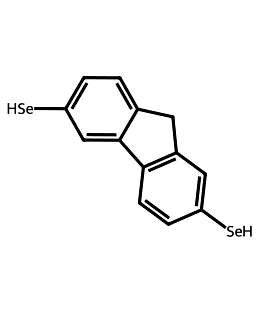 [SeH]c1ccc2c(c1)Cc1ccc([SeH])cc1-2